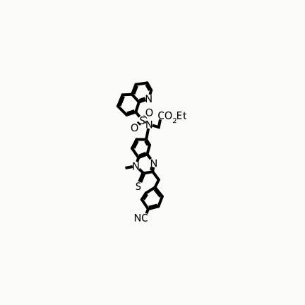 CCOC(=O)CN(c1ccc2c(c1)nc(Cc1ccc(C#N)cc1)c(=S)n2C)S(=O)(=O)c1cccc2cccnc12